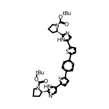 CC(C)(C)OC(=O)N1CCC[C@@H]1c1ncc(-c2ccc(-c3ccc(-c4ccc(-c5cnc([C@H]6CCCN6C(=O)OC(C)(C)C)[nH]5)s4)cc3)s2)[nH]1